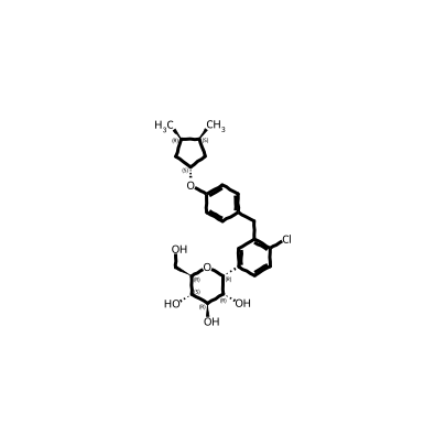 C[C@@H]1C[C@@H](Oc2ccc(Cc3cc([C@H]4O[C@H](CO)[C@@H](O)[C@H](O)[C@H]4O)ccc3Cl)cc2)C[C@@H]1C